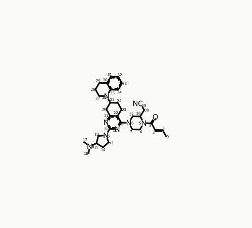 CC=CC(=O)N1CCN(c2nc(N3CCC(N(C)C)C3)nc3c2CCC(N2CCCc4ccccc42)C3)CC1CC#N